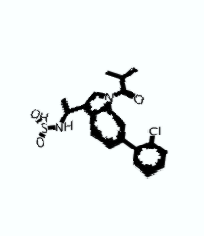 CC(C)C(=O)n1cc(C(C)N[SH](=O)=O)c2ccc(-c3ccccc3Cl)cc21